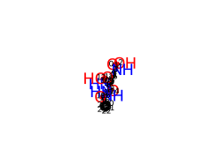 O=C(O)NCCCCC(NC(=O)O)C(=O)NNC(=O)c1ccccc1